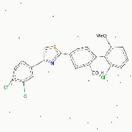 COc1cccc(Cl)c1-c1ccc(-c2nc(-c3ccc(Cl)c(Cl)c3)cs2)cc1C(=O)O